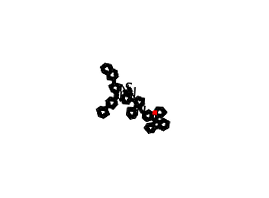 c1ccc(-c2ccc(N(c3ccc(-c4ccc5ccccc5c4)cc3)c3ccc(-c4cccc5c4c4ccccc4n5-c4ccc(C5(c6ccccc6)c6ccccc6-c6ccccc65)cc4)c4nsnc34)cc2)cc1